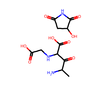 CC(N)C(=O)C(NCC(=O)O)C(=O)O.O=C1CC(O)C(=O)N1